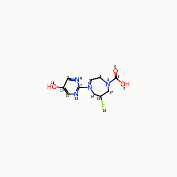 O=C(O)N1CCN(c2ncc(O)cn2)CC(F)C1